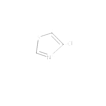 C1=CSC=[N+]1.[Cl-]